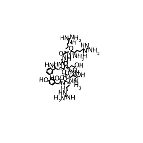 C[C@@H](O)[C@H](NC(=O)[C@H](CC(=O)O)NC(=O)[C@H](Cc1c[nH]c2ccccc12)NC(=O)CNC(=O)[C@H](CCCNC(=N)N)NC(=O)[C@@H](N)CCCNC(=N)N)C(=O)N[C@@H](CCCNC(=N)N)C(=O)N[C@@H](Cc1ccc(O)cc1)C(=O)O